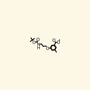 COC(=O)c1cc(C)cc(OCCCNC(=O)OC(C)(C)C)c1